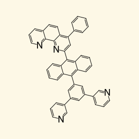 c1ccc(-c2cc(-c3c4ccccc4c(-c4cc(-c5cccnc5)cc(-c5cccnc5)c4)c4ccccc34)nc3c2ccc2cccnc23)cc1